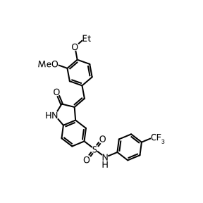 CCOc1ccc(C=C2C(=O)Nc3ccc(S(=O)(=O)Nc4ccc(C(F)(F)F)cc4)cc32)cc1OC